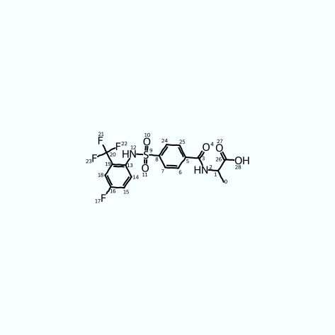 CC(NC(=O)c1ccc(S(=O)(=O)Nc2ccc(F)cc2C(F)(F)F)cc1)C(=O)O